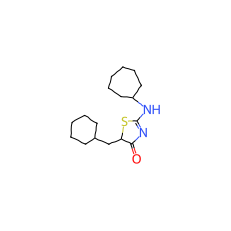 O=C1N=C(NC2CCCCCC2)SC1CC1CCCCC1